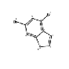 Brc1cc(Br)c2ccsc2c1